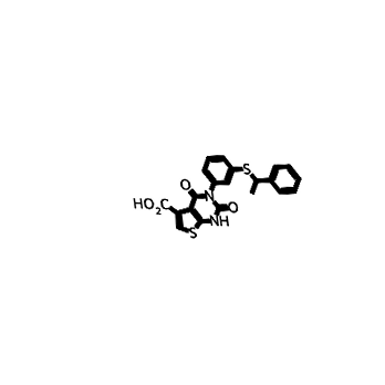 CC(Sc1cccc(-n2c(=O)[nH]c3scc(C(=O)O)c3c2=O)c1)c1ccccc1